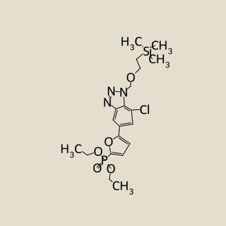 CCOP(=O)(OCC)c1ccc(-c2cc(Cl)c3c(c2)nnn3COCC[Si](C)(C)C)o1